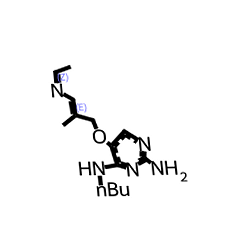 C/C=N\C=C(/C)COc1cnc(N)nc1NCCCC